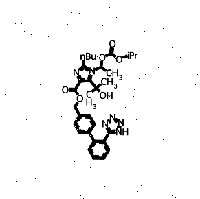 CCCCc1nc(C(=O)OCc2ccc(-c3ccccc3-c3nnn[nH]3)cc2)c(C(C)(C)O)n1C(C)OC(=O)OC(C)C